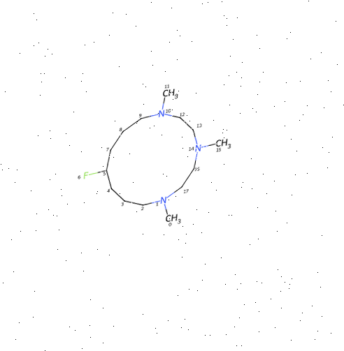 CN1CCCC(F)CCCN(C)CCN(C)CC1